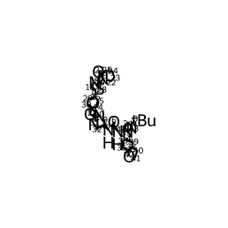 CC(C)(C)c1cc(NC(=O)Nc2cnc(Oc3ccc(-c4cnc(N5CCCCC5=O)s4)cc3)nc2)n(-c2ccc3c(c2)CCO3)n1